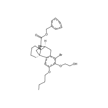 CCCCOc1cc2c(c(Br)c1OCCO)C[C@H]1[C@H]3CCCC[C@@]23CCN1C(=O)OCc1ccccc1